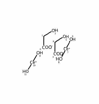 O=C([O-])CO.O=C([O-])CO.[OH][Ce+][OH].[OH][Ce+][OH]